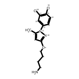 Cc1cc(OCCCCN)nn1-c1ccc(Cl)c(Cl)c1